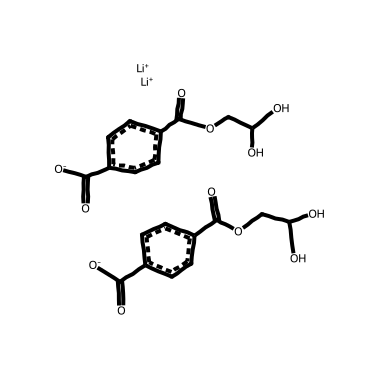 O=C([O-])c1ccc(C(=O)OCC(O)O)cc1.O=C([O-])c1ccc(C(=O)OCC(O)O)cc1.[Li+].[Li+]